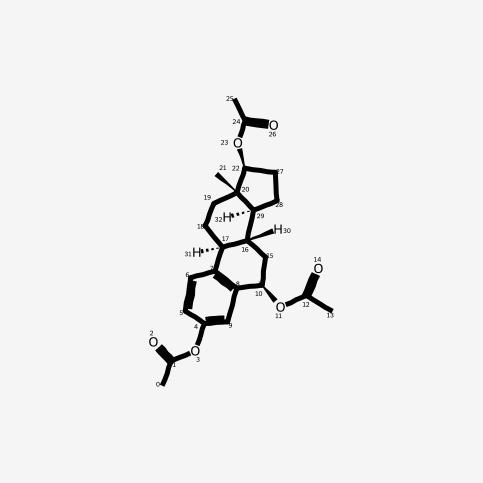 CC(=O)Oc1ccc2c(c1)[C@H](OC(C)=O)C[C@@H]1[C@@H]2CC[C@]2(C)[C@@H](OC(C)=O)CC[C@@H]12